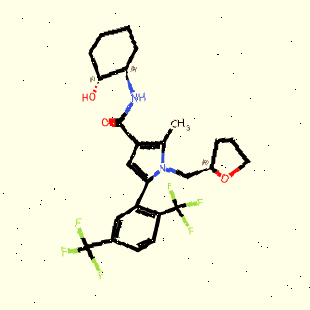 Cc1c(C(=O)N[C@@H]2CCCC[C@H]2O)cc(-c2cc(C(F)(F)F)ccc2C(F)(F)F)n1C[C@H]1CCCO1